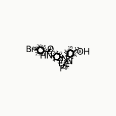 O=C(Nc1ccc(-n2c(C(F)(F)F)nc3cc(CO)ccc32)cc1)c1ccc(Br)cc1